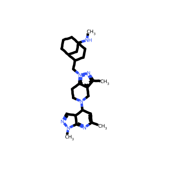 CNC12CCCC(C1)C(Cn1nc(C)c3c1CCN(C1C=C(C)N=C4C1C=NN4C)C3)CC2